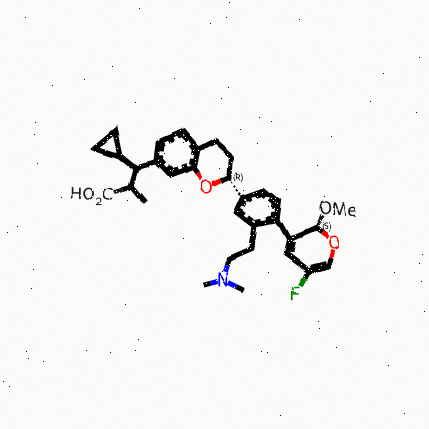 CO[C@H]1OC=C(F)C=C1c1ccc([C@H]2CCc3ccc(C(C4CC4)C(C)C(=O)O)cc3O2)cc1CCN(C)C